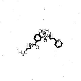 CCCNC(=O)c1ccc(OC)c(S(=O)(=O)NCCc2ccccn2)c1